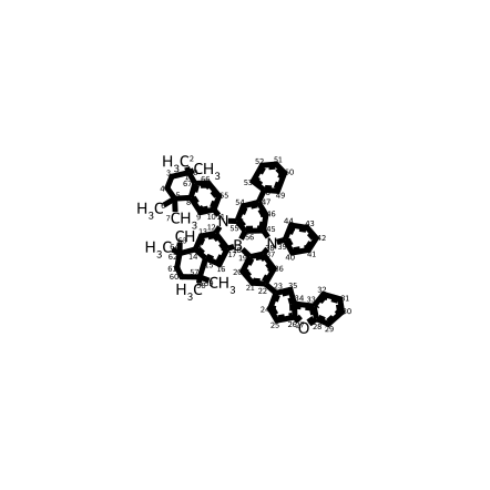 CC1(C)CCC(C)(C)c2cc(N3c4cc5c(cc4B4c6ccc(-c7ccc8oc9ccccc9c8c7)cc6N(c6ccccc6)c6cc(-c7ccccc7)cc3c64)C(C)(C)CCC5(C)C)ccc21